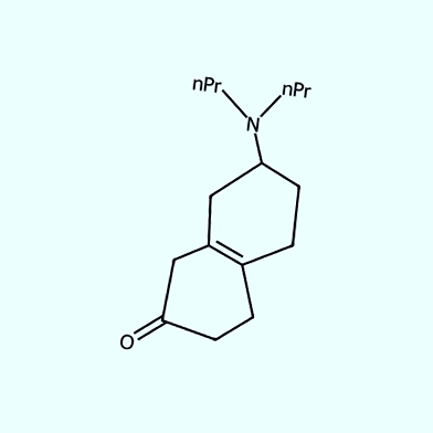 CCCN(CCC)C1CCC2=C(CC(=O)CC2)C1